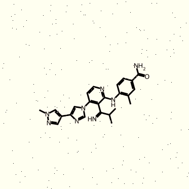 Cc1cc(C(N)=O)ccc1Nc1nccc(-n2cnc(-c3cnn(C)c3)c2)c1C(=N)C(C)C